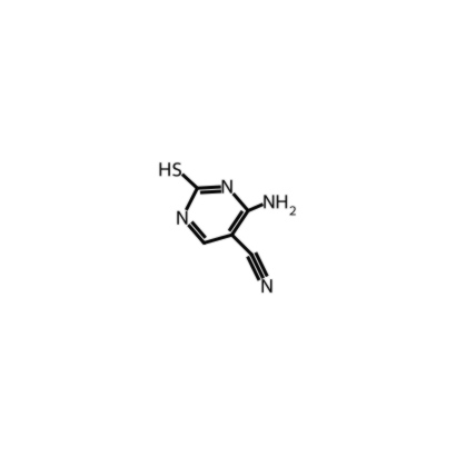 N#Cc1cnc(S)nc1N